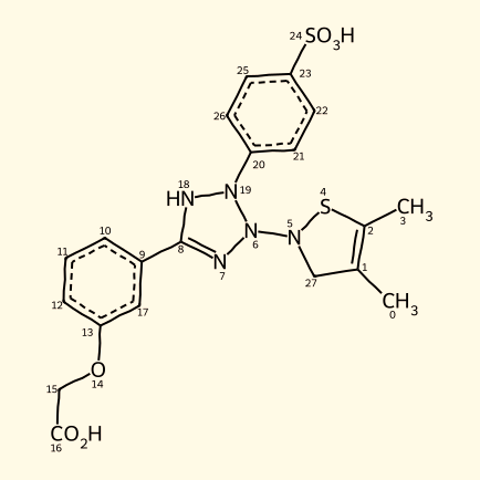 CC1=C(C)SN(N2N=C(c3cccc(OCC(=O)O)c3)NN2c2ccc(S(=O)(=O)O)cc2)C1